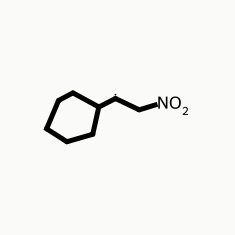 O=[N+]([O-])C[CH]C1CCCCC1